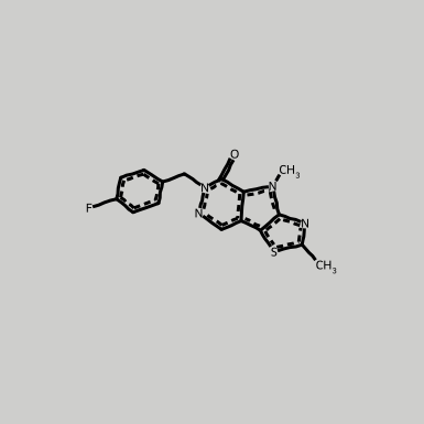 Cc1nc2c(s1)c1cnn(Cc3ccc(F)cc3)c(=O)c1n2C